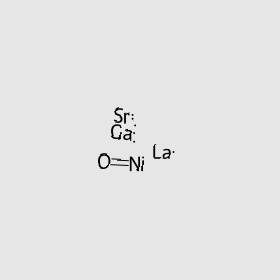 [Ga].[La].[O]=[Ni].[Sr]